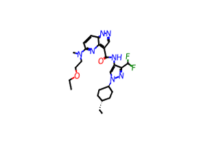 CCOCCN(C)c1ccc2nncc(C(=O)Nc3cn([C@H]4CC[C@H](CC)CC4)nc3C(F)F)c2n1